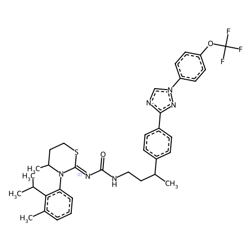 Cc1cccc(N2/C(=N/C(=O)NCCC(C)c3ccc(-c4ncn(-c5ccc(OC(F)(F)F)cc5)n4)cc3)SCCC2C)c1C(C)C